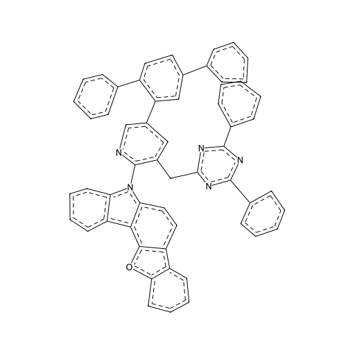 c1ccc(-c2ccc(-c3ccccc3)c(-c3cnc(-n4c5ccccc5c5c6oc7ccccc7c6ccc54)c(Cc4nc(-c5ccccc5)nc(-c5ccccc5)n4)c3)c2)cc1